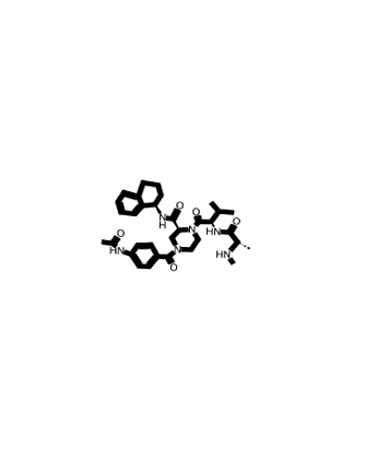 CN[C@@H](C)C(=O)N[C@H](C(=O)N1CCN(C(=O)c2ccc(NC(C)=O)cc2)C[C@H]1C(=O)N[C@@H]1CCCc2ccccc21)C(C)C